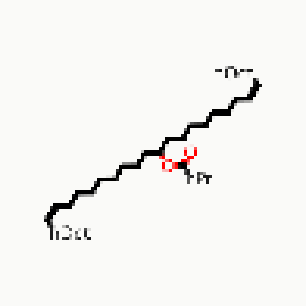 CCCCCCCC/C=C\CCCCCCCCC(CCCCCCC/C=C\CCCCCCCC)OC(=O)CCC